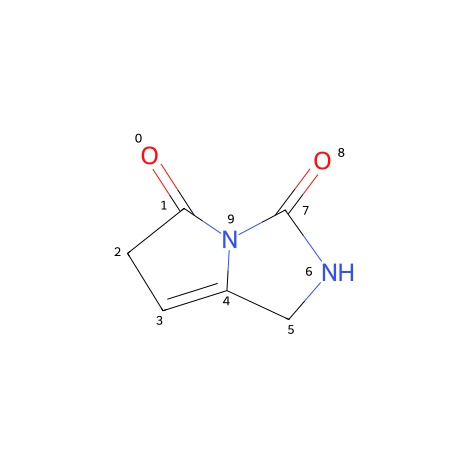 O=C1CC=C2CNC(=O)N12